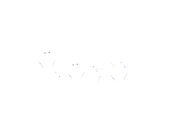 O=C(Nc1ccc(Nc2ccccc2)cc1)c1ccc[nH]c1=S